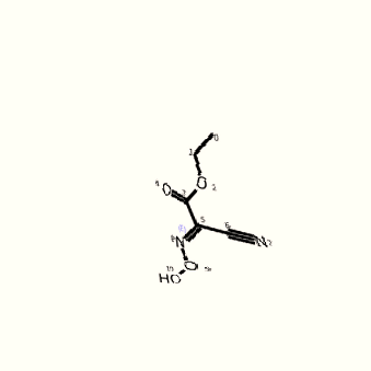 CCOC(=O)/C(C#N)=N/OO